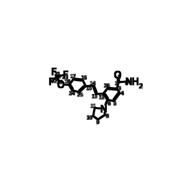 NC(=O)c1ccc(N2CCCC2)c(/C=C/c2ccc(OC(F)(F)F)cc2)c1